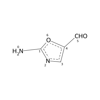 Nc1ncc(C=O)o1